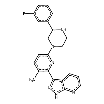 Fc1cccc(C2CN(c3ccc(C(F)(F)F)c(-c4n[nH]c5ncccc45)n3)CCN2)c1